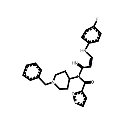 N=C(/C=C\Nc1ccc(F)cc1)N(C(=O)c1ccno1)C1CCN(Cc2ccccc2)CC1